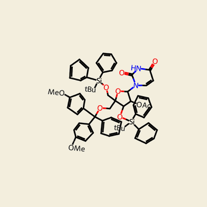 COc1ccc(C(OCC2(CO[Si](c3ccccc3)(c3ccccc3)C(C)(C)C)OC(n3ccc(=O)[nH]c3=O)C(OC(C)=O)C2O[Si](c2ccccc2)(c2ccccc2)C(C)(C)C)(c2ccccc2)c2ccc(OC)cc2)cc1